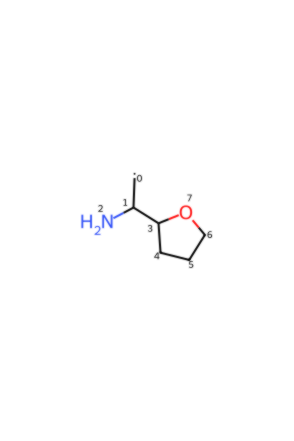 [CH2]C(N)C1CCCO1